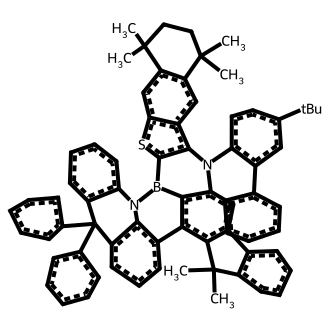 CC(C)(C)c1ccc(N2c3cc4c(c5c3B(c3sc6cc7c(cc6c32)C(C)(C)CCC7(C)C)N2c3ccccc3C(c3ccccc3)(c3ccccc3)c3cccc-5c32)C(C)(C)c2ccccc2-4)c(-c2ccccc2)c1